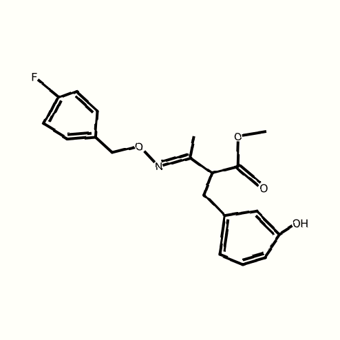 COC(=O)C(Cc1cccc(O)c1)C(C)=NOCc1ccc(F)cc1